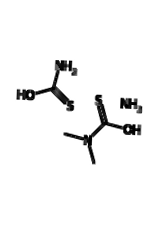 CN(C)C(O)=S.N.NC(O)=S